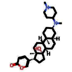 CN1CCC(N(C)[C@H]2CC[C@@]3(C)[C@H](CC[C@@H]4[C@@H]3CC[C@]3(C)[C@@H](c5ccc(=O)oc5)CC[C@]43O)C2)CC1